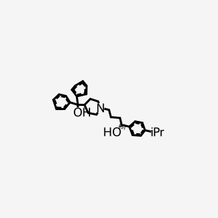 CC(C)c1ccc([C@@H](O)CCCN2CCC(C(O)(c3ccccc3)c3ccccc3)CC2)cc1